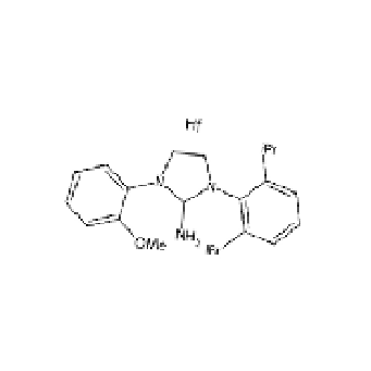 COc1ccccc1N1CCN(c2c(C(C)C)cccc2C(C)C)C1N.[Hf]